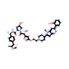 Cc1ncsc1-c1ccc([C@H](C)NC(=O)[C@@H]2C[C@@H](O)CN2C(=O)[C@@H](c2cc(OCCN3CCC(c4cc5nnc(-c6ccccc6O)cc5n4C)CC3)no2)C(C)C)cc1